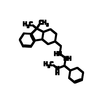 CNC(NNCC1CCC2C(C1)C1=C(CCC=C1)C2(C)C)C1CC=CCC1